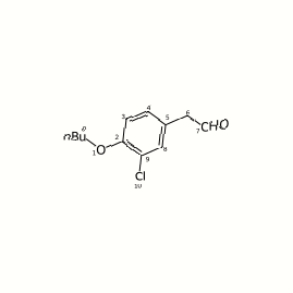 CCCCOc1ccc(CC=O)cc1Cl